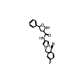 N#Cc1ccc(F)cc1Cn1cc(NC(=O)C2CC(c3ccccc3)ON2)cn1